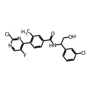 Cc1cc(C(=O)NC(CO)c2cccc(Cl)c2)ccc1-c1nc(Cl)ncc1F